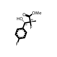 COC(=O)[C@](C)(F)[C@@H](O)c1ccc(F)cc1